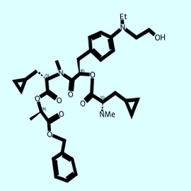 CCN(CCO)c1ccc(C[C@@H](OC(=O)[C@H](CC2CC2)NC)C(=O)N(C)[C@@H](CC2CC2)C(=O)O[C@H](C)C(=O)OCc2ccccc2)cc1